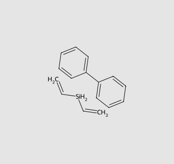 C=C[SiH2]C=C.c1ccc(-c2ccccc2)cc1